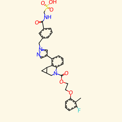 Cc1c(F)cccc1OCCOC(=O)N1CC2CC2c2c(-c3cnn(Cc4cccc(C(=O)NCS(=O)(=O)O)c4)c3)cccc21